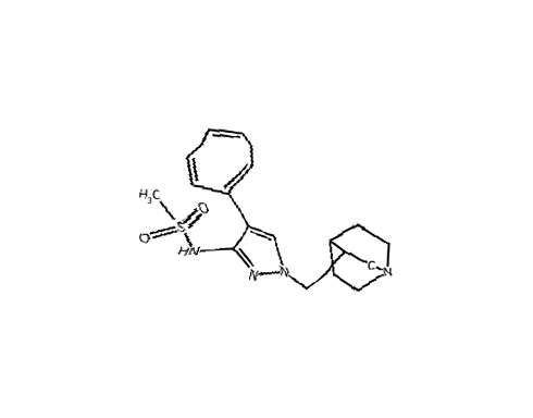 CS(=O)(=O)Nc1nn(CC2CN3CCC2CC3)cc1-c1ccccc1